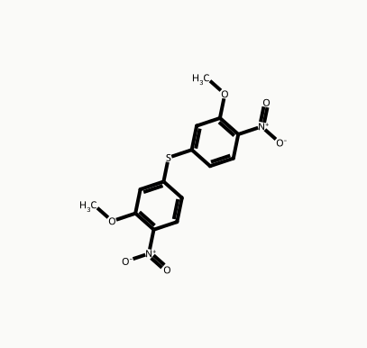 COc1cc(Sc2ccc([N+](=O)[O-])c(OC)c2)ccc1[N+](=O)[O-]